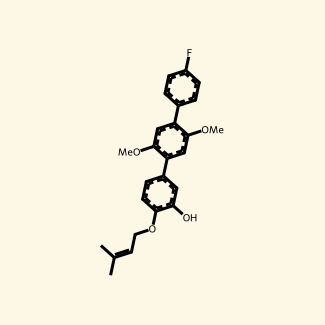 COc1cc(-c2ccc(OCC=C(C)C)c(O)c2)c(OC)cc1-c1ccc(F)cc1